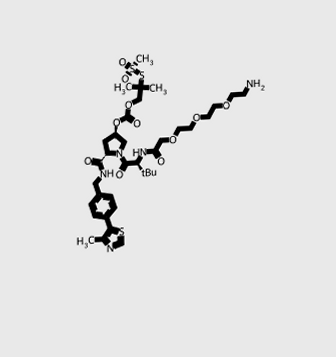 Cc1ncsc1-c1ccc(CNC(=O)[C@@H]2C[C@@H](OC(=O)OCC(C)(C)SS(C)(=O)=O)CN2C(=O)[C@@H](NC(=O)COCCOCCOCCN)C(C)(C)C)cc1